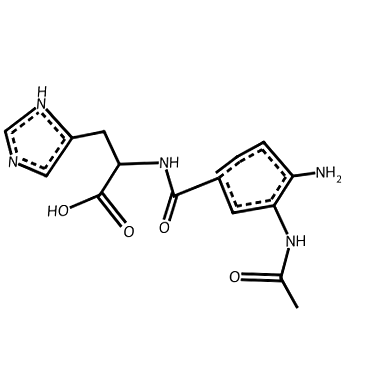 CC(=O)Nc1cc(C(=O)NC(Cc2cnc[nH]2)C(=O)O)ccc1N